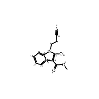 COC(=O)c1c([O-])n(CCC#N)c2cccc[n+]12